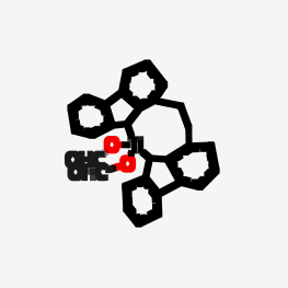 O=C[O][Ti]1([O]C=O)[CH]2c3ccccc3-c3cccc(c32)CCc2cccc3c2[CH]1c1ccccc1-3